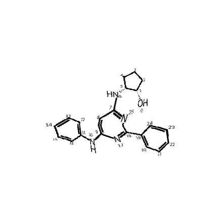 O[C@H]1CCC[C@H]1Nc1cc(Nc2ccccc2)nc(-c2ccccc2)n1